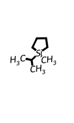 CC(C)[Si]1(C)CCCC1